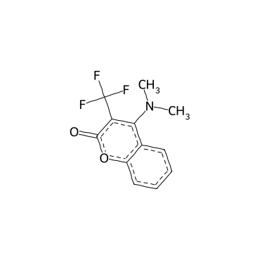 CN(C)c1c(C(F)(F)F)c(=O)oc2ccccc12